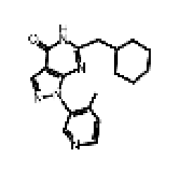 Cc1ccncc1-n1ncc2c(=O)[nH]c(CC3CCCCC3)nc21